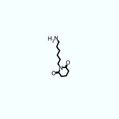 NCCCCCCN1C(=O)CCCC1=O